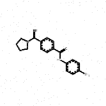 Cc1ccc(NC(=O)c2ccc(C(=N)N3CCCC3)cc2)cc1